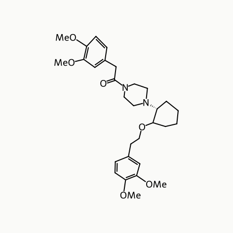 COc1ccc(CCOC2CCCC[C@H]2N2CCN(C(=O)Cc3ccc(OC)c(OC)c3)CC2)cc1OC